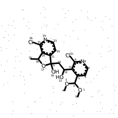 COC(OC)c1ccnc(Cl)c1C(O)CC1(O)OC(C)c2c1ccnc2Cl